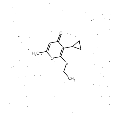 CCSc1oc(C)cc(=O)c1C1CC1